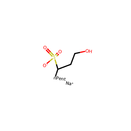 CCCCCC(CCO)S(=O)(=O)[O-].[Na+]